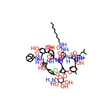 CCCCCCCCCNC(=O)NC(=O)C[C@@H]1NC(=O)[C@H](NC(=O)[C@@H](CC(C)C)NC)[C@H](O)c2ccc(c(C)c2)Oc2cc3cc(c2O[C@@H]2O[C@H](CN)[C@@H](O)[C@H](O)[C@H]2O)Oc2ccc(cc2Cl)[C@@H](O)[C@@H]2NC(=O)[C@H](NC(=O)C3NC1=O)c1ccc(O)c(c1)-c1c(O)cc(O)cc1[C@@H](C(=O)NC1C3CC4CC(C3)CC1C4)NC2=O